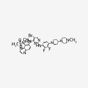 CN1CCN(C2CCN(c3ccc(Nc4ncc(Br)c(Nc5ccc6nccnc6c5N(C)S(C)(=O)=O)n4)c(F)c3F)CC2)CC1